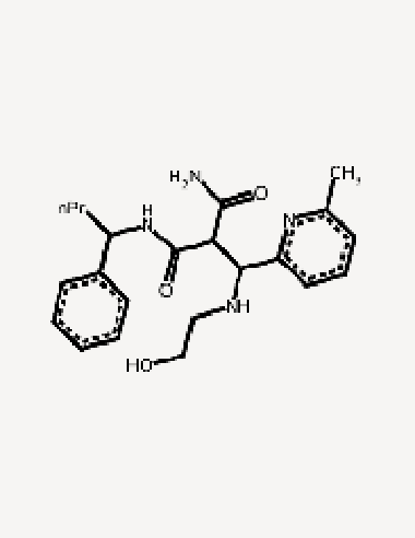 CCCC(NC(=O)C(C(N)=O)C(NCCO)c1cccc(C)n1)c1ccccc1